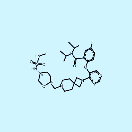 CNS(=O)(=O)N[C@@H]1CC[C@@H](CN2CCC3(CC2)CN(c2ncncc2Oc2ccc(F)cc2C(=O)N(C(C)C)C(C)C)C3)OC1